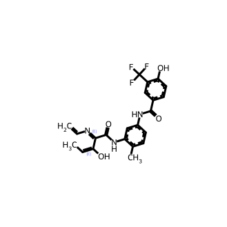 C=C/N=C(C(=O)Nc1cc(NC(=O)c2ccc(O)c(C(F)(F)F)c2)ccc1C)\C(O)=C/C